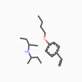 C=Cc1ccc(OCCCC)cc1.CCC(C)NC(C)CC